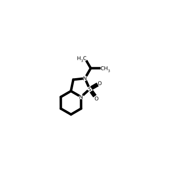 CC(C)N1CC2CCCCN2S1(=O)=O